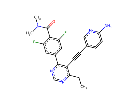 CCc1ncnc(-c2cc(F)c(C(=O)N(C)C)c(F)c2)c1C#Cc1ccc(N)nc1